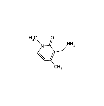 Cc1ccn(C)c(=O)c1CN